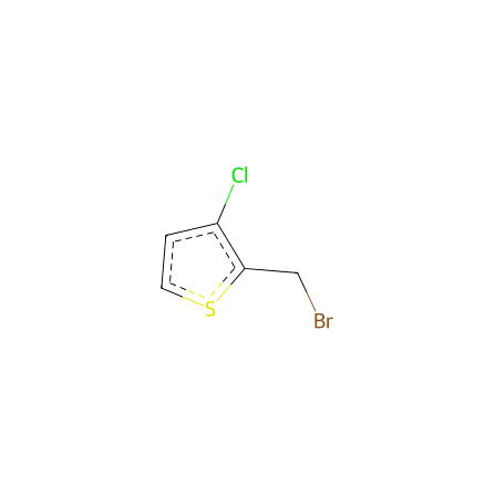 Clc1ccsc1CBr